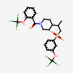 CC(CS(=O)(=O)c1cccc(OC(F)(F)F)c1)C1CCN(C(=O)c2ccccc2OC(F)(F)F)CC1